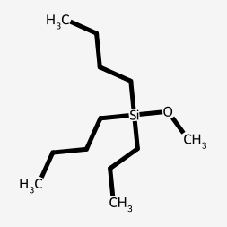 CCCC[Si](CCC)(CCCC)OC